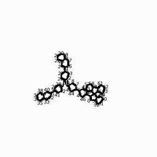 C1=C(c2ccc(-c3ccc(N(c4ccc(-c5ccc6ccccc6c5)cc4)c4ccc(-c5ccc6ccccc6c5)cc4)cc3)cc2)C2(c3ccccc31)c1ccccc1-c1ccccc12